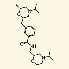 CC(C)N1CCOC(CNC(=O)c2cccc(C[C@@H]3CN(C(C)C)C[C@H](C)O3)c2)C1